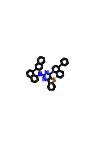 c1ccc(-c2ccc(-c3nc(N4c5cc6ccccc6cc5-c5cccc6cccc4c56)nc4c3sc3ccccc34)c3ccccc23)cc1